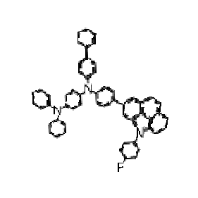 Fc1ccc(-n2c3cccc4ccc5cc(-c6ccc(N(c7ccc(-c8ccccc8)cc7)c7ccc(N(c8ccccc8)c8ccccc8)cc7)cc6)cc2c5c43)cc1